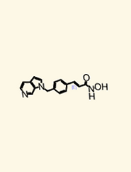 O=C(/C=C/c1ccc(Cn2ccc3ccncc32)cc1)NO